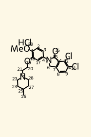 COc1ccc(N2Cc3ccc(Cl)c(Cl)c3C2=O)cc1OCCN1CCC(C)CC1.Cl